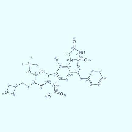 CC(C)(C)OC(=O)N(CCC1COC1)C[C@H]1Cc2c(cc(OCc3ccccc3)c(N3CC(=O)NS3(=O)=O)c2F)N1C(=O)O